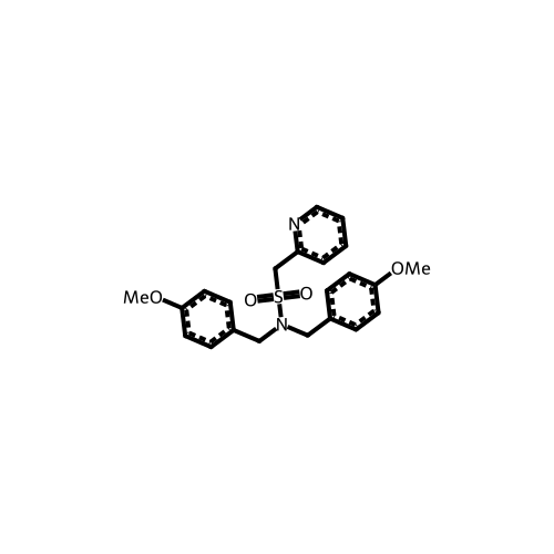 COc1ccc(CN(Cc2ccc(OC)cc2)S(=O)(=O)Cc2ccccn2)cc1